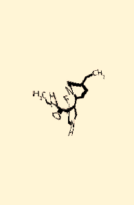 C=Cc1ccc(C2CNC[C@@]2(F)C(=O)NCC)nc1